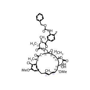 COc1cc2cc(c1Cl)N(C)C(=O)C[C@H](OC(=O)[C@H](C)N(C)C(=O)c1ccc(F)c(NC(=O)OCc3ccccc3)c1)[C@]1(C)O[C@H]1[C@H](C)[C@@H]1C[C@@](O)(NC(=O)O1)[C@H](OC)/C=C/C=C(\C)C2